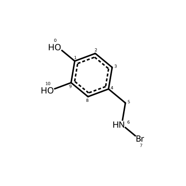 Oc1ccc(CNBr)cc1O